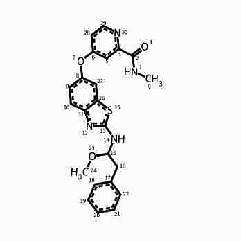 CNC(=O)c1cc(Oc2ccc3nc(NC(Cc4ccccc4)OC)sc3c2)ccn1